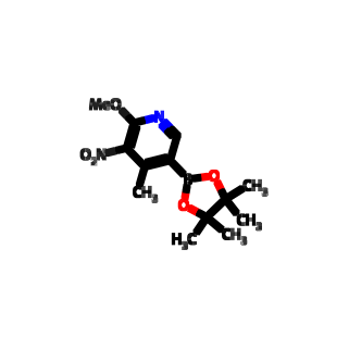 COc1ncc(B2OC(C)(C)C(C)(C)O2)c(C)c1[N+](=O)[O-]